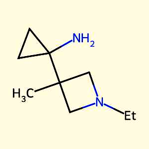 CCN1CC(C)(C2(N)CC2)C1